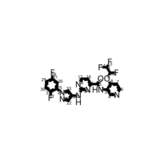 O=C(Nc1cnccc1OC(F)C(F)F)c1ccnc(Nc2cnn(-c3cc(F)ccc3F)c2)n1